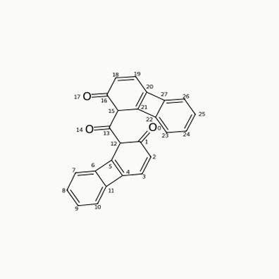 O=C1C=CC2=C(c3ccccc32)C1C(=O)C1C(=O)C=CC2=C1c1ccccc12